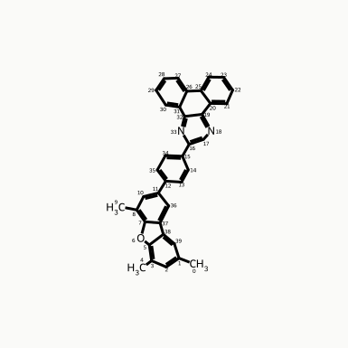 Cc1cc(C)c2oc3c(C)cc(-c4ccc(-c5cnc6c7ccccc7c7ccccc7c6n5)cc4)cc3c2c1